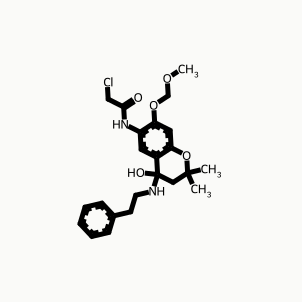 COCOc1cc2c(cc1NC(=O)CCl)C(O)(NCCc1ccccc1)CC(C)(C)O2